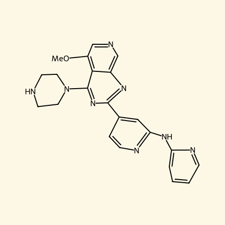 COc1cncc2nc(-c3ccnc(Nc4ccccn4)c3)nc(N3CCNCC3)c12